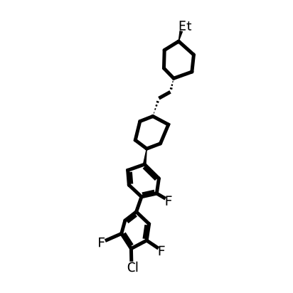 CC[C@H]1CC[C@H](CC[C@H]2CC[C@H](c3ccc(-c4cc(F)c(Cl)c(F)c4)c(F)c3)CC2)CC1